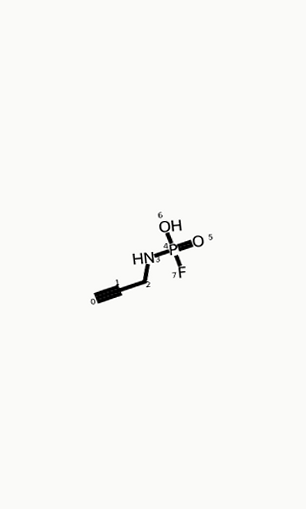 C#CCNP(=O)(O)F